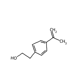 C=C(C)c1ccc(CCO)cc1